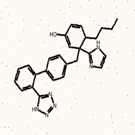 CCCCC1C=CC(O)=CC1(Cc1ccc(-c2ccccc2-c2nnn[nH]2)cc1)c1ncc[nH]1